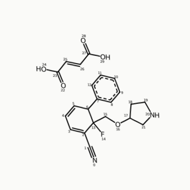 N#CC1=CC=CC(c2ccccc2)C1(F)COC1CCNC1.O=C(O)/C=C/C(=O)O